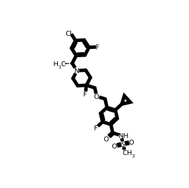 C[C@H](c1cc(F)cc(Cl)c1)N1CCC(F)(COCc2cc(F)c(C(=O)NS(C)(=O)=O)cc2C2CC2)CC1